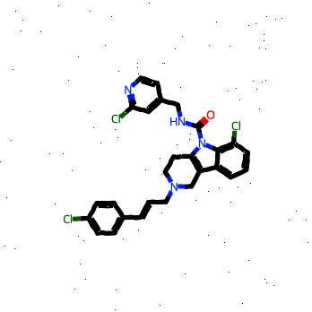 O=C(NCc1ccnc(Cl)c1)n1c2c(c3cccc(Cl)c31)CN(C/C=C/c1ccc(Cl)cc1)CC2